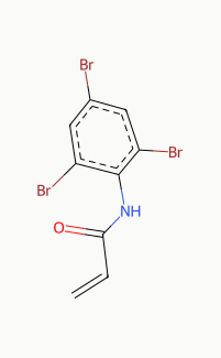 C=CC(=O)Nc1c(Br)cc(Br)cc1Br